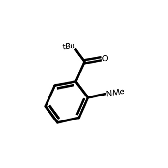 CNc1ccccc1C(=O)C(C)(C)C